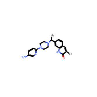 CCc1cc2ccc(C(C(C)C)N3CCN(c4ccc(N)cn4)CC3)cc2[nH]c1=O